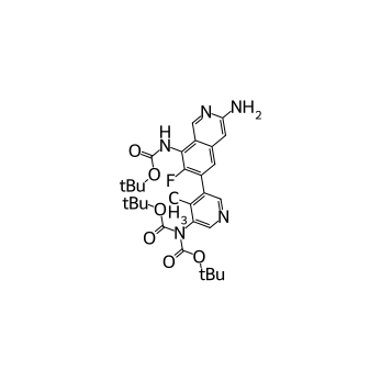 Cc1c(-c2cc3cc(N)ncc3c(NC(=O)OC(C)(C)C)c2F)cncc1N(C(=O)OC(C)(C)C)C(=O)OC(C)(C)C